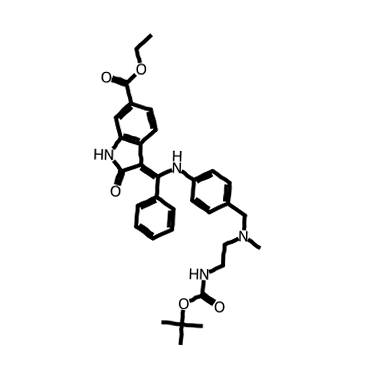 CCOC(=O)c1ccc2c(c1)NC(=O)C2=C(Nc1ccc(CN(C)CCNC(=O)OC(C)(C)C)cc1)c1ccccc1